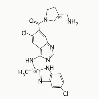 C[C@H](Nc1ncnc2cc(C(=O)N3CC[C@H](CN)C3)c(Cl)cc12)c1nc2cc(Cl)ccc2[nH]1